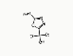 CCC(O)(CC)c1nnc(SC)o1